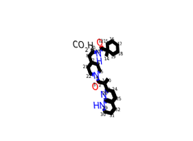 CC(C(=O)N1CCC(CC(NC(=O)C2(C)CCCCC2)C(=O)O)CC1)c1ccc2c(n1)NCCC2